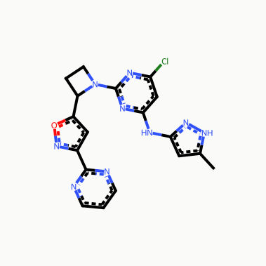 Cc1cc(Nc2cc(Cl)nc(N3CCC3c3cc(-c4ncccn4)no3)n2)n[nH]1